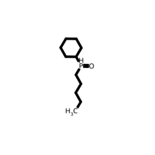 CCCCC[PH](=O)C1CCCCC1